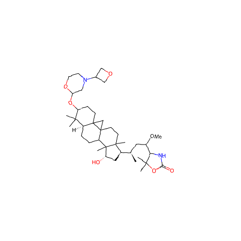 COC(C[C@@H](C)[C@H]1C[C@H](O)C2(C)C3CC[C@H]4C(C)(C)C(OC5CN(C6COC6)CCO5)CCC45CC35CCC12C)C1NC(=O)OC1(C)C